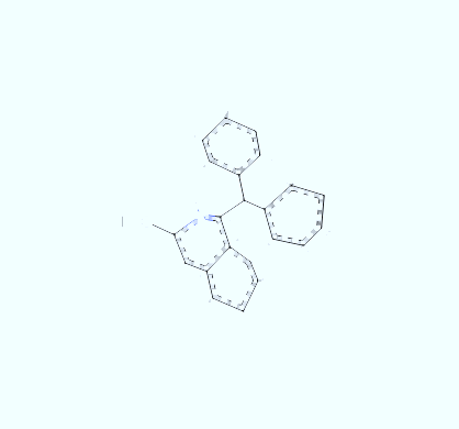 Cc1cc2ccccc2c(C(c2ccccc2)c2ccccc2)n1